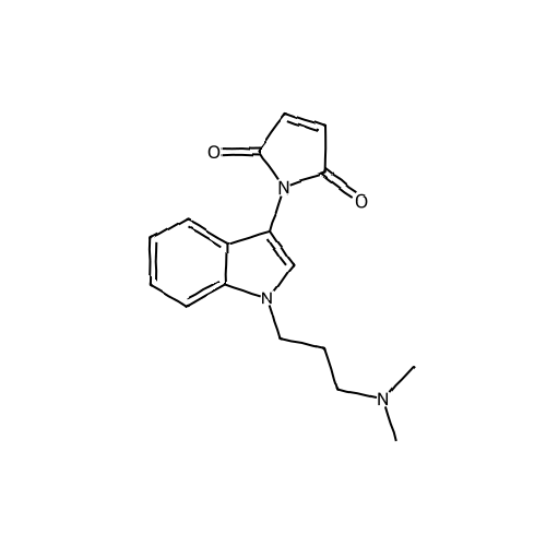 CN(C)CCCn1cc(N2C(=O)C=CC2=O)c2ccccc21